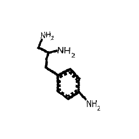 NCC(N)Cc1ccc(N)cc1